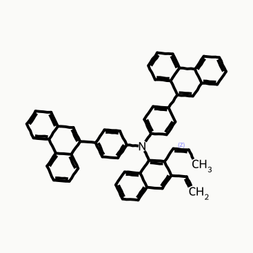 C=Cc1cc2ccccc2c(N(c2ccc(-c3cc4ccccc4c4ccccc34)cc2)c2ccc(-c3cc4ccccc4c4ccccc34)cc2)c1/C=C\C